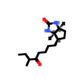 CCC(C)C(=O)CCCC[C@@H]1CC[C@@H]2NC(=O)N[C@H]12